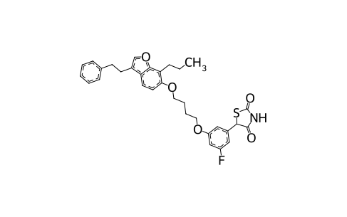 CCCc1c(OCCCCOc2cc(F)cc(C3SC(=O)NC3=O)c2)ccc2c(CCc3ccccc3)coc12